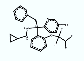 O=C(N[C@](Cc1ccccc1)(c1ccc(Cl)cn1)c1ccccc1OC(F)(F)C(F)F)C1CC1